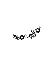 CC(C)(C)[Si](C)(C)Oc1ccc(OCc2cc3n(n2)CCN(c2ccc(F)cn2)C3=O)cc1